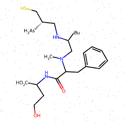 CCC(C)C(CN(C)C(Cc1ccccc1)C(=O)NC(CCO)C(=O)O)NC[C@H]([AsH2])CS